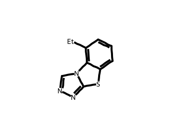 CCc1cccc2sc3nncn3c12